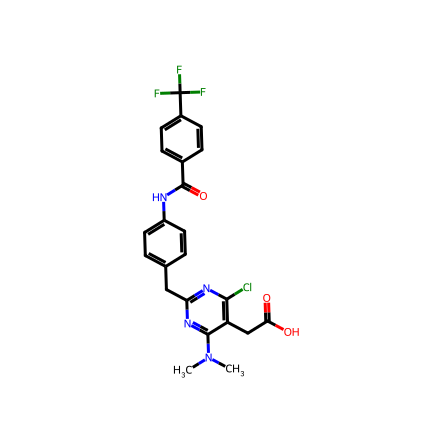 CN(C)c1nc(Cc2ccc(NC(=O)c3ccc(C(F)(F)F)cc3)cc2)nc(Cl)c1CC(=O)O